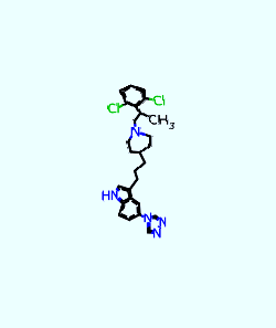 CC(CN1CCC(CCCc2c[nH]c3ccc(-n4cnnc4)cc23)CC1)c1c(Cl)cccc1Cl